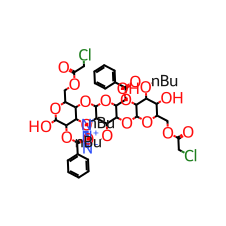 CCCCOC1C(O)C(COC(=O)CCl)OC(OC2C(CO)OC(OC3C(COC(=O)CCl)OC(O)C(OC(=O)c4ccccc4)C3OCCCC)C(N=[N+]=[N-])C2OCCCC)C1OC(=O)c1ccccc1